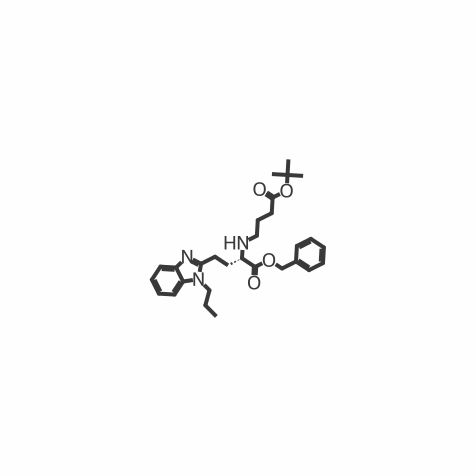 CCCn1c(CC[C@H](NCCCC(=O)OC(C)(C)C)C(=O)OCc2ccccc2)nc2ccccc21